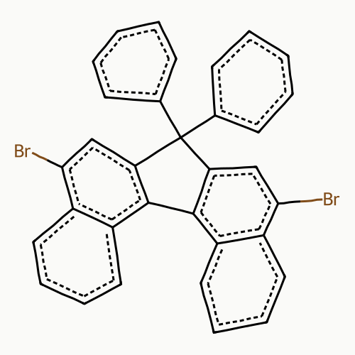 Brc1cc2c(c3ccccc13)-c1c(cc(Br)c3ccccc13)C2(c1ccccc1)c1ccccc1